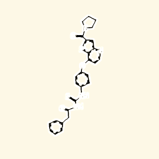 O=C(Cc1ccccc1)NC(=S)Nc1ccc(Oc2ccnc3cc(C(=O)N4CCCC4)sc23)cc1